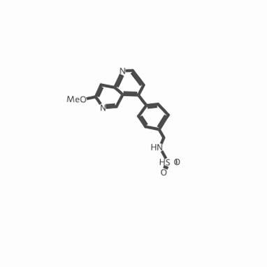 COc1cc2nccc(-c3ccc(CN[SH](=O)=O)cc3)c2cn1